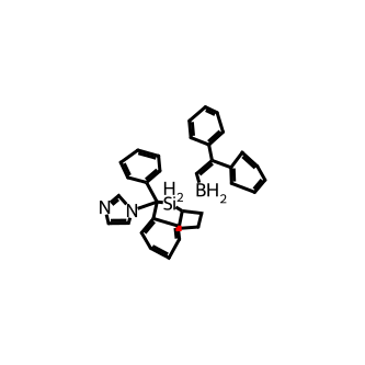 BC=C(c1ccccc1)c1ccccc1.c1ccc(C([SiH2]C2CCC2)(c2ccccc2)n2ccnc2)cc1